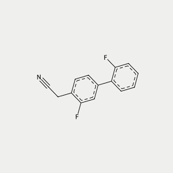 N#CCc1ccc(-c2ccccc2F)cc1F